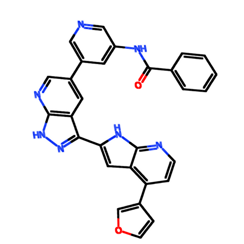 O=C(Nc1cncc(-c2cnc3[nH]nc(-c4cc5c(-c6ccoc6)ccnc5[nH]4)c3c2)c1)c1ccccc1